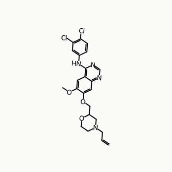 C=CCN1CCOC(COc2cc3ncnc(Nc4ccc(Cl)c(Cl)c4)c3cc2OC)C1